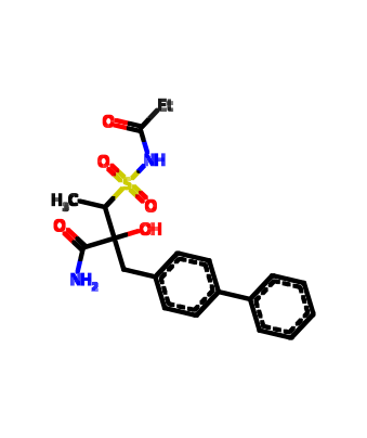 CCC(=O)NS(=O)(=O)C(C)C(O)(Cc1ccc(-c2ccccc2)cc1)C(N)=O